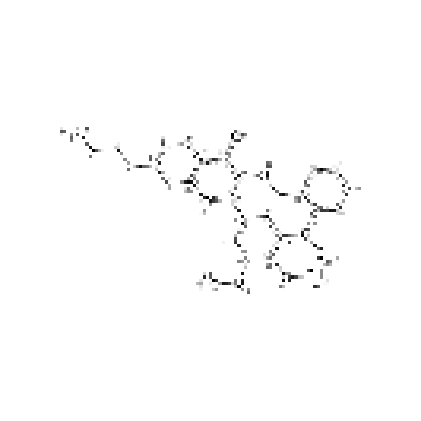 CCCCc1ccc2c(=O)c(OCc3ccccc3)c(-c3cc(OC)c(OC)c(OC)c3)oc2c1